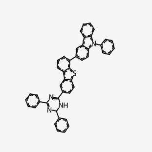 c1ccc(C2=NC(c3ccccc3)NC(c3ccc4sc5c(-c6ccc7c(c6)c6ccccc6n7-c6ccccc6)cccc5c4c3)=N2)cc1